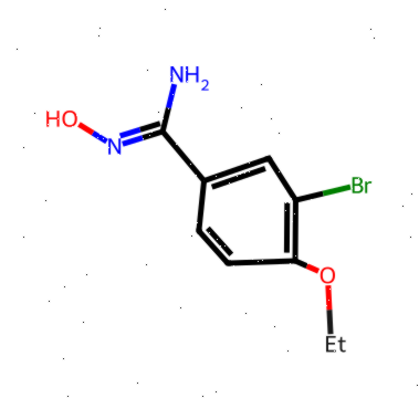 CCOc1ccc(/C(N)=N/O)cc1Br